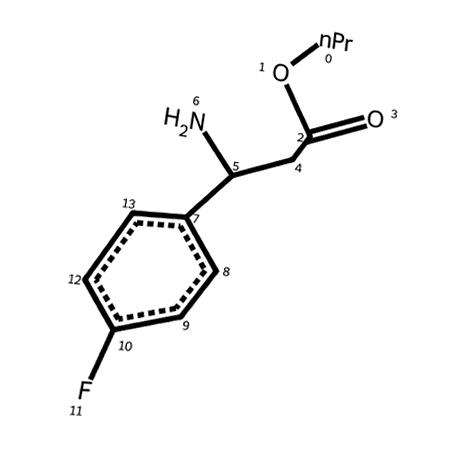 CCCOC(=O)CC(N)c1ccc(F)cc1